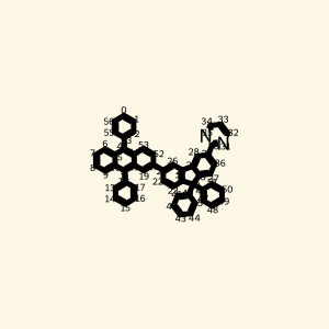 c1ccc(-c2c3ccccc3c(-c3ccccc3)c3cc(-c4ccc5c(c4)-c4cc(-c6ncccn6)ccc4C5(c4ccccc4)c4ccccc4)ccc23)cc1